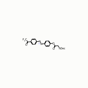 CCCCCCCCCCCC(=O)Oc1ccc(/N=N/c2ccc(C(=O)C(F)(F)F)cc2)cc1